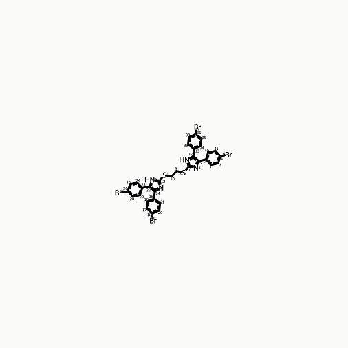 Brc1ccc(-c2nc(SCCSc3nc(-c4ccc(Br)cc4)c(-c4ccc(Br)cc4)[nH]3)[nH]c2-c2ccc(Br)cc2)cc1